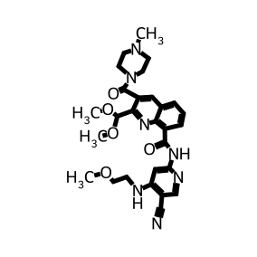 COCCNc1cc(NC(=O)c2cccc3cc(C(=O)N4CCN(C)CC4)c(C(OC)OC)nc23)ncc1C#N